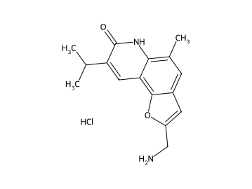 Cc1cc2cc(CN)oc2c2cc(C(C)C)c(=O)[nH]c12.Cl